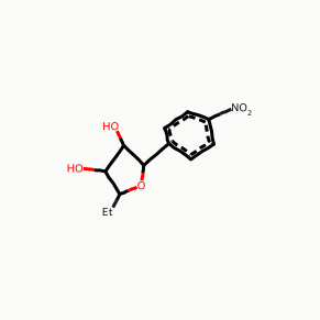 CCC1OC(c2ccc([N+](=O)[O-])cc2)C(O)C1O